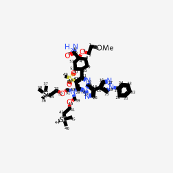 COCCOC1(C(N)=O)CCC(c2nc3c(-c4cnn(-c5ccccc5)c4)cnn3c(N(COCC[Si](C)(C)C)COCC[Si](C)(C)C)c2S(C)(=O)=O)CC1